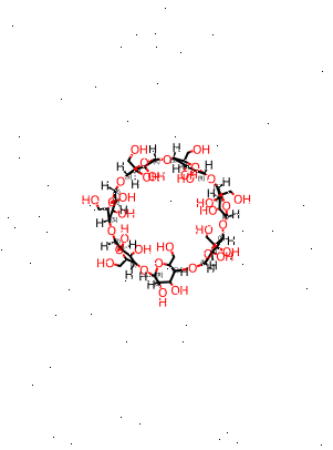 OCC1O[C@@H]2O[C@@H]3C(CO)O[C@H](O[C@@H]4C(CO)O[C@H](O[C@@H]5C(CO)O[C@H](O[C@@H]6C(CO)O[C@H](O[C@@H]7C(CO)O[C@H](O[C@@H]8C(CO)O[C@H](O[C@H]1C(O)[C@@H]2O)C(O)[C@H]8O)C(O)[C@H]7O)C(O)[C@H]6O)[C@@H](O)C5O)[C@@H](O)C4O)[C@@H](O)C3O